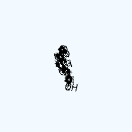 O=C1OCCN1c1cnc(N2CCCC3(CCN([C@H]4CC[C@H](O)CC4)C3=O)C2)c(Cl)c1